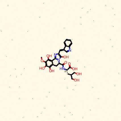 COc1c(O)c(O)c2c(c1O)-c1nc(C=C3C=Nc4ccccc43)c(O)n1C(C(=O)N[C@@H](CC(CO)CO)C(=O)O)C2